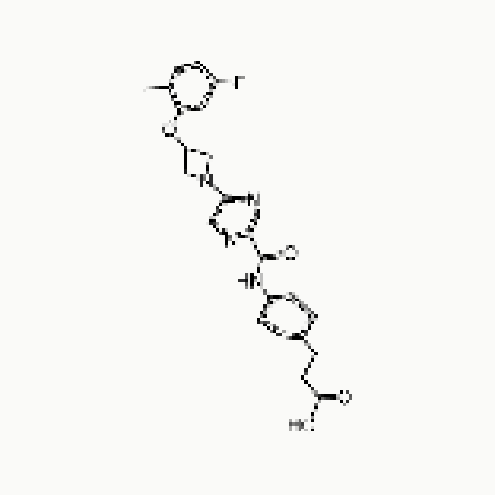 Cc1ccc(F)cc1OC1CN(c2cnc(C(=O)Nc3ccc(CCC(=O)O)cc3)cn2)C1